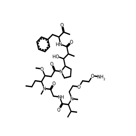 CCCC(C(CC(=O)N1CCCC1C(O)C(C)C(=O)NC(Cc1ccccc1)C(C)=O)OC)N(C)C(=O)CNC(=O)C(C(C)C)N(C)CCOCCON